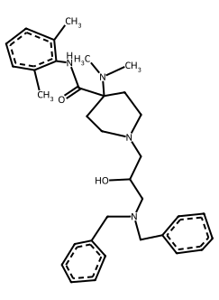 Cc1cccc(C)c1NC(=O)C1(N(C)C)CCN(CC(O)CN(Cc2ccccc2)Cc2ccccc2)CC1